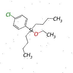 CCCC[Si](CCCC)(OCC)c1ccc(Cl)cc1